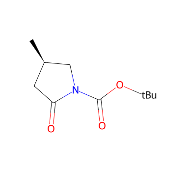 C[C@@H]1CC(=O)N(C(=O)OC(C)(C)C)C1